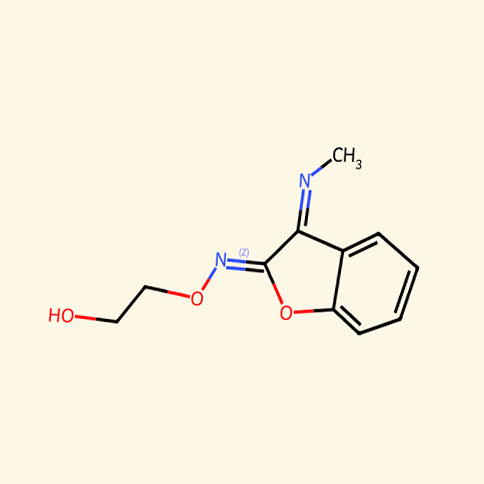 CN=C1/C(=N/OCCO)Oc2ccccc21